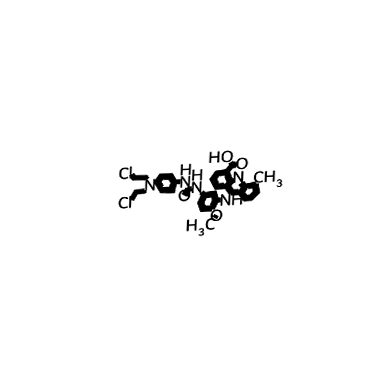 COc1ccc(NC(=O)Nc2ccc(N(CCCl)CCCl)cc2)cc1Nc1c2cccc(C)c2nc2c(C(=O)O)cccc12